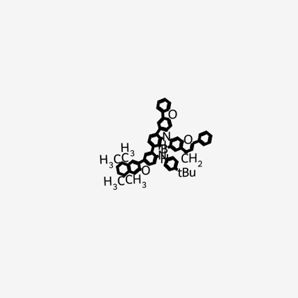 C=C1C=C(c2ccccc2)Oc2cc3c(cc21)Bc1c(-c2cc4c(cc2Nc2ccc(C(C)(C)C)cc2)oc2cc5c(cc24)C(C)(C)CCC5(C)C)ccc2c4cc5c(cc4n-3c12)oc1ccccc15